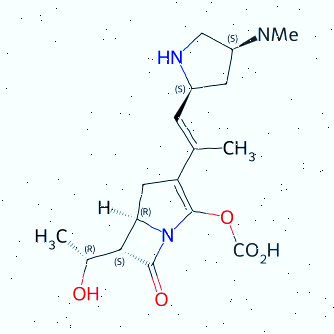 CN[C@@H]1CN[C@H](C=C(C)C2=C(OC(=O)O)N3C(=O)[C@H]([C@@H](C)O)[C@H]3C2)C1